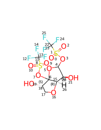 O=S(=O)(OC1OC2(OS(=O)(=O)C(F)(F)F)[C@H](OC[C@@H]2O)[C@@H]1O)C(F)(F)F